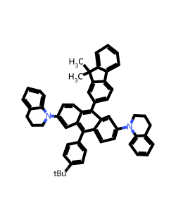 CC(C)(C)c1ccc(-c2c3ccc(N4CCCc5ccccc54)cc3c(-c3ccc4c(c3)C(C)(C)c3ccccc3-4)c3ccc(N4CCCc5ccccc54)cc23)cc1